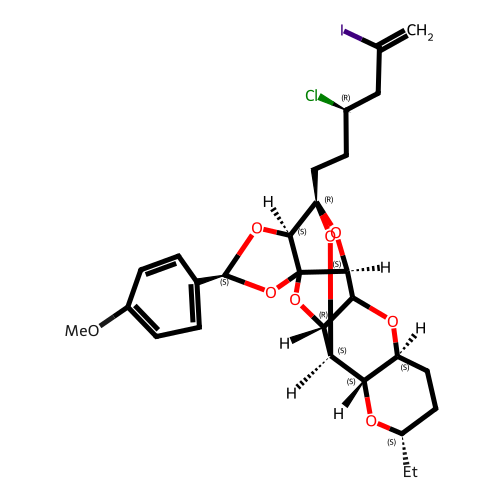 C=C(I)C[C@H](Cl)CC[C@]12O[C@H]3[C@H]4O[C@@H](CC)CC[C@@H]4OC4[C@H]3OC3(O[C@@H](c5ccc(OC)cc5)O[C@H]31)[C@H]4O2